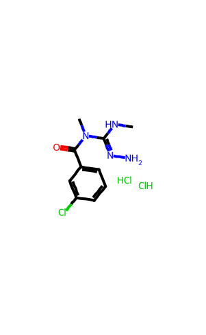 CNC(=NN)N(C)C(=O)c1cccc(Cl)c1.Cl.Cl